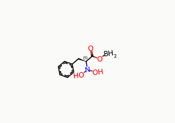 BOC(=O)[C@H](Cc1ccccc1)N(O)O